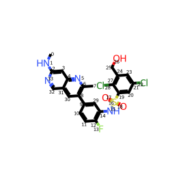 CNc1cc2nc(C)c(-c3ccc(F)c(NS(=O)(=O)c4cc(Cl)cc(CO)c4Cl)c3)cc2cn1